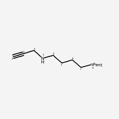 C#CCNCCCCCCCCC